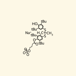 CC(C)(Sc1cc(C(C)(C)C)c(O)c(C(C)(C)C)c1)Sc1cc(C(C)(C)C)c(OC(=O)CCCOS(=O)(=O)[O-])c(C(C)(C)C)c1.[Na+]